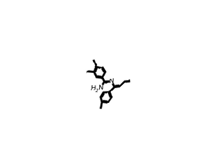 C=C/C=C(\N=C(/N)c1ccc(C)c(C)c1)c1ccc(C)cc1